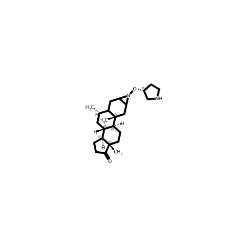 C[C@H]1C[C@@H]2[C@H](CC[C@]3(C)C(=O)CC[C@@H]23)[C@@]2(C)CC3C(CC12)N3O[C@@H]1CCNC1